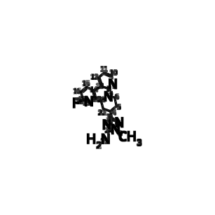 Cn1nc(C2CCN(c3ncccc3-c3ccc(F)nc3)CC2)nc1N